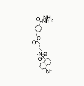 CN(C)c1cccc2c(S(=O)(=O)N(C)CCCC(=O)OCc3ccc(C(=O)NN)cc3)cccc12